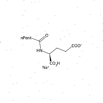 CCCCCC(=O)N[C@@H](CCC(=O)[O-])C(=O)O.[Na+]